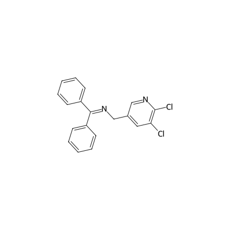 Clc1cc(CN=C(c2ccccc2)c2ccccc2)cnc1Cl